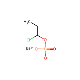 CCC(Cl)OP(=O)([O-])[O-].[Ba+2]